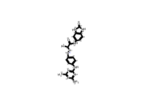 CC(=O)C(/N=N/c1ccc(Nc2nc(N)nc(N)n2)cc1)C(=O)Nc1ccc2[nH]c(=O)[nH]c2c1